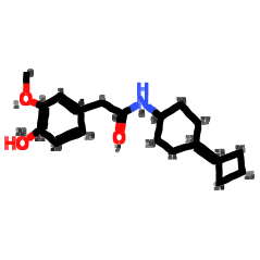 COc1cc(CC(=O)NC2CCC(=C3CCC3)CC2)ccc1O